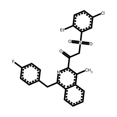 CCc1ccc(Cl)cc1S(=O)(=O)CC(=O)c1nc(Cc2ccc(F)cc2)c2ccccc2c1C